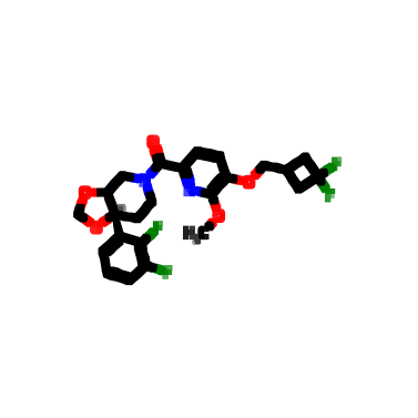 COc1nc(C(=O)N2CC[C@]3(c4cccc(F)c4F)OCOC3C2)ccc1OCC1CC(F)(F)C1